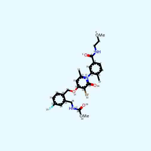 COCCNC(=O)c1ccc(C)c(-n2c(C)cc(OCc3ccc(F)cc3CNC(=O)OC)c(Br)c2=O)c1